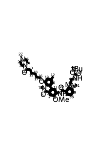 COc1cc(C(=O)N(C)c2ccc(C)cc2OCCCCCC(=O)N2CCN(C)CC2)ccc1NC(=O)c1cccc2c1nc(CNC(=O)OC(C)(C)C)n2C